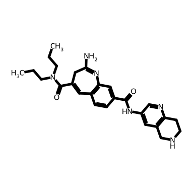 CCCN(CCC)C(=O)C1=Cc2ccc(C(=O)Nc3cnc4c(c3)CNCC4)cc2N=C(N)C1